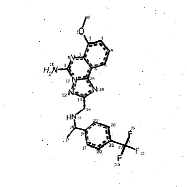 COc1cccc2c1nc(N)n1nc(CNC(C)c3ccc(C(F)(F)F)cc3)nc21